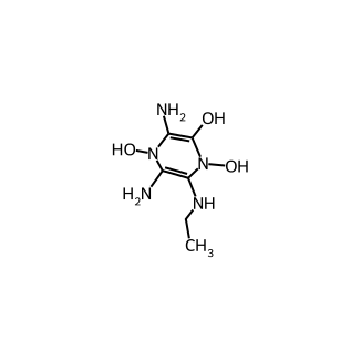 CCNC1=C(N)N(O)C(N)=C(O)N1O